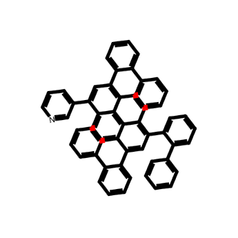 c1ccc(-c2ccccc2-c2cc(-c3cccnc3)c3ccc4c(-c5ccccc5-c5ccccc5)cc(-c5ccccc5-c5ccccc5)c5ccc2c3c45)cc1